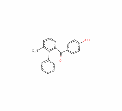 O=C(c1ccc(O)cc1)c1cccc([N+](=O)[O-])c1-c1ccccc1